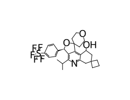 CC(C)c1nc2c(c3c1[C@@H](c1ccc(S(F)(F)(F)(F)F)cc1)OC31CCOCC1)C(O)CC1(CCC1)C2